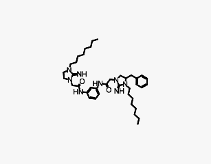 CCCCCCCCN1CCN(CC(=O)Nc2cccc(NC(=O)CN3CC(Cc4ccccc4)N(CCCCCCCC)C3=N)c2)C1=N